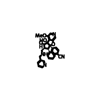 COc1cncc2c1C1(O)[C@H](O)[C@H](CNCc3cccnc3)[C@@H](c3ccccc3)[C@]1(c1ccc(C#N)cc1)O2